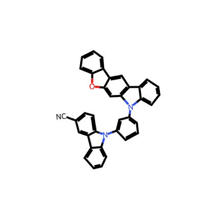 N#Cc1ccc2c(c1)c1ccccc1n2-c1cccc(-n2c3ccccc3c3cc4c(cc32)oc2ccccc24)c1